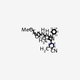 C=C/C=C(\C=C/CC#N)c1nn(-c2ccccc2)c(NC(=O)N[C@H]2CON(CCOC)C2)c1C